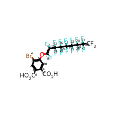 O=C(O)c1cc(Br)c(OC(F)=C(F)C(F)(F)C(F)(F)C(F)(F)C(F)(F)C(F)(F)C(F)(F)C(F)(F)F)cc1C(=O)O